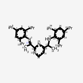 C/C(=N\c1c(C(C)C)cc(C(C)C)cc1C(C)C)c1nccc(C(C)Nc2c(C(C)C)cc(C(C)C)cc2C(C)C)n1